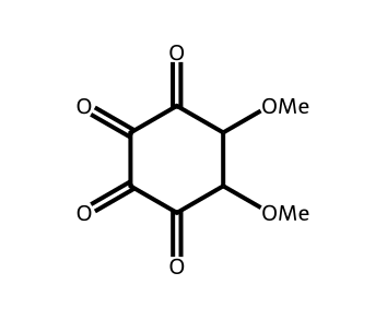 COC1C(=O)C(=O)C(=O)C(=O)C1OC